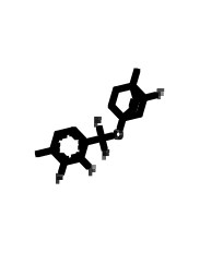 Cc1ccc(C(F)(F)OC23C=C(F)C(C)(CC2)CC3)c(F)c1F